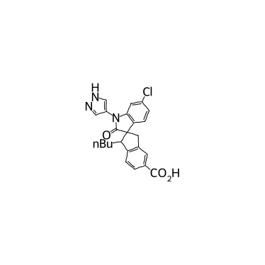 CCCCC1c2ccc(C(=O)O)cc2CC12C(=O)N(c1cn[nH]c1)c1cc(Cl)ccc12